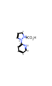 O=C(O)N1CC=CN1c1ccccn1